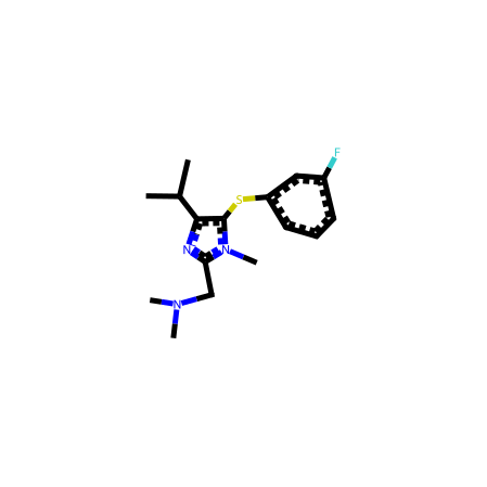 CC(C)c1nc(CN(C)C)n(C)c1Sc1cccc(F)c1